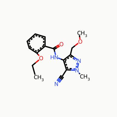 CCOc1ccccc1C(=O)Nc1c(COC)nn(C)c1C#N